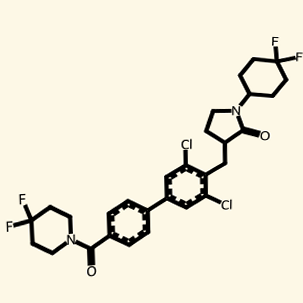 O=C(c1ccc(-c2cc(Cl)c(CC3CCN(C4CCC(F)(F)CC4)C3=O)c(Cl)c2)cc1)N1CCC(F)(F)CC1